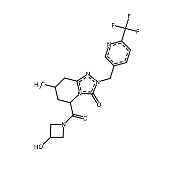 CC1Cc2nn(Cc3ccc(C(F)(F)F)nc3)c(=O)n2C(C(=O)N2CC(O)C2)C1